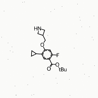 CC(C)(C)OC(=O)c1cc(C2CC2)c(OCC2CNC2)cc1F